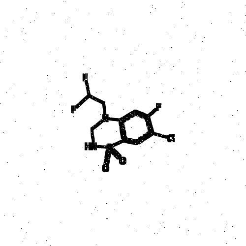 O=S1(=O)NCN(CC(F)F)c2cc(F)c(Cl)cc21